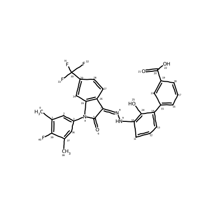 Cc1cc(N2C(=O)C(=NNc3cccc(-c4cccc(C(=O)O)c4)c3O)c3ccc(C(F)(F)F)cc32)cc(C)c1F